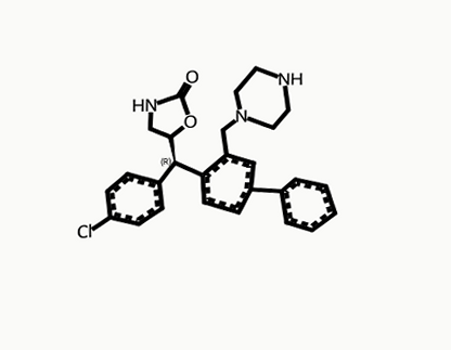 O=C1NCC([C@H](c2ccc(Cl)cc2)c2ccc(-c3ccccc3)cc2CN2CCNCC2)O1